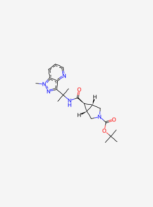 Cn1nc(C(C)(C)NC(=O)[C@H]2[C@@H]3CN(C(=O)OC(C)(C)C)C[C@@H]32)c2ncccc21